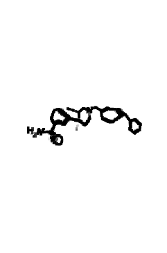 C[C@H]1CN(Cc2ccc(-c3ccccc3)cc2)CC[C@@]1(C)c1cccc(C(N)=O)c1